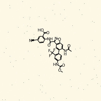 COC(=O)Nc1ccc(-c2cc3c(C(=O)Nc4ccc(C#N)cc4C(=O)O)noc3cc2NC(C)=O)c(C(F)(F)F)c1